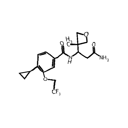 CC1(C(CC(N)=O)NC(=O)c2ccc(C3CC3)c(OCC(F)(F)F)c2)COC1